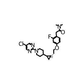 CN(C)C(=O)Cc1ccc(OCC[C@@H]2CC2C2CCN(c3ncc(Cl)cn3)CC2)cc1F